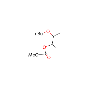 CCCCOC(C)C(C)OC(=O)OC